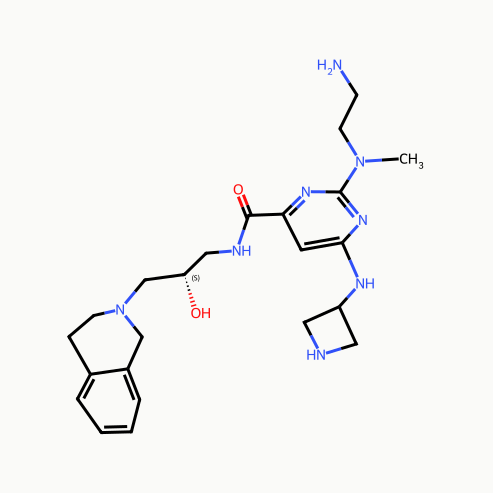 CN(CCN)c1nc(NC2CNC2)cc(C(=O)NC[C@H](O)CN2CCc3ccccc3C2)n1